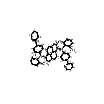 Cc1cccc(C)c1N(c1ccc(-c2ccccn2)cc1)c1ccc2ccc3c(N(c4ccc(-c5ccccn5)cc4)c4c(C)cccc4C)ccc4ccc1c2c43